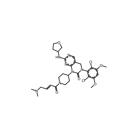 COc1cc(OC)c(Cl)c(N2Cc3cnc(NC4CCOC4)nc3N(C3CCN(C(=O)C=CCN(C)C)CC3)C2=O)c1Cl